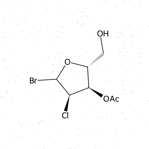 CC(=O)O[C@@H]1[C@@H](CO)OC(Br)[C@@H]1Cl